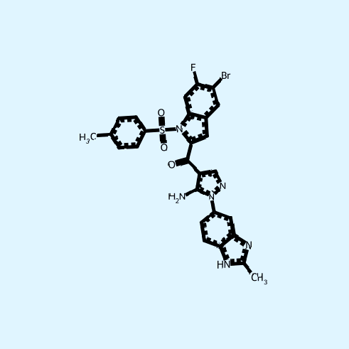 Cc1ccc(S(=O)(=O)n2c(C(=O)c3cnn(-c4ccc5[nH]c(C)nc5c4)c3N)cc3cc(Br)c(F)cc32)cc1